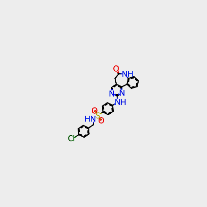 O=C1Cc2cnc(Nc3ccc(S(=O)(=O)NCc4ccc(Cl)cc4)cc3)nc2-c2ccccc2N1